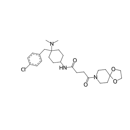 CN(C)C1(Cc2ccc(Cl)cc2)CCC(NC(=O)CCC(=O)N2CCC3(CC2)OCCO3)CC1